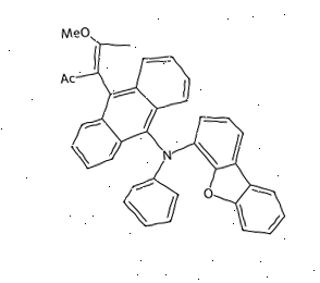 CO/C(C)=C(\C(C)=O)c1c2ccccc2c(N(c2ccccc2)c2cccc3c2oc2ccccc23)c2ccccc12